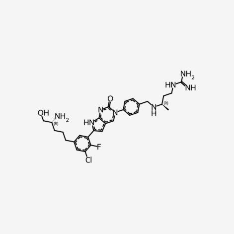 C[C@H](CCNC(=N)N)NCc1ccc(-n2cc3cc(-c4cc(CCC[C@@H](N)CO)cc(Cl)c4F)[nH]c3nc2=O)cc1